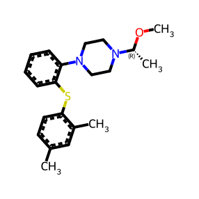 CO[C@H](C)N1CCN(c2ccccc2Sc2ccc(C)cc2C)CC1